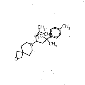 CC(C)=CC(CC(C)(C)c1ccc(C)cc1)N1CCC2(CC1)COC2